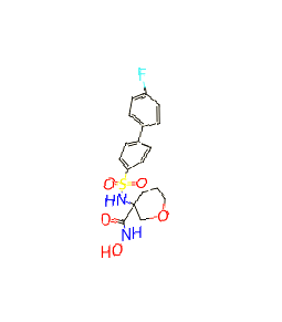 O=C(NO)C1(NS(=O)(=O)c2ccc(-c3ccc(F)cc3)cc2)CCCOC1